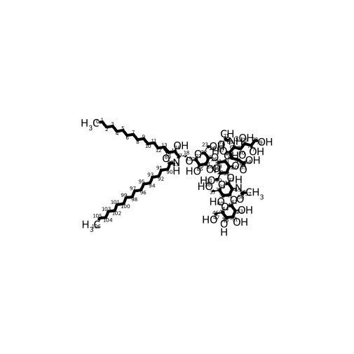 CCCCCCCCCCCCC/C=C/[C@@H](O)[C@H](CO[C@@H]1O[C@H](CO)[C@@H](O[C@@H]2O[C@H](CO)[C@H](O[C@@H]3O[C@H](CO)[C@H](O)[C@H](O[C@@H]4O[C@H](CO)[C@H](O)[C@H](O)[C@H]4O)[C@H]3NC(C)=O)[C@H](O[C@]3(C(=O)O)C[C@H](O)[C@@H](NC(C)=O)[C@H]([C@H](O)[C@H](O)CO)O3)[C@H]2O)[C@H](O)[C@H]1O)NC(=O)CCCCCCCCCCCCCCCCC